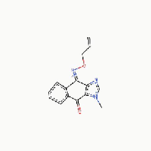 C=CCO/N=C1/c2ccccc2C(=O)c2c1ncn2C